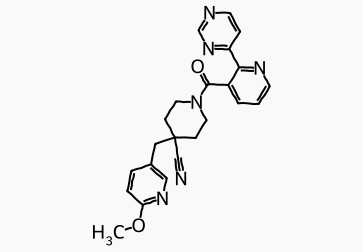 COc1ccc(CC2(C#N)CCN(C(=O)c3cccnc3-c3ccncn3)CC2)cn1